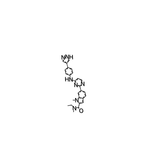 CCN(C)C(=O)c1cc2ccc(-c3nccc(Nc4ccc(-c5cn[nH]c5)cc4)n3)cc2n1C